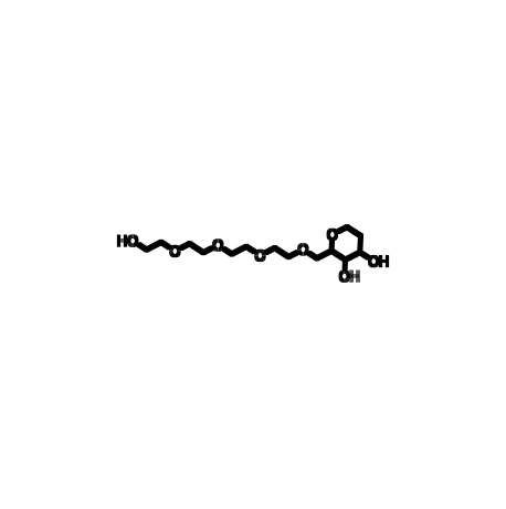 OCCOCCOCCOCCOCC1OCCC(O)C1O